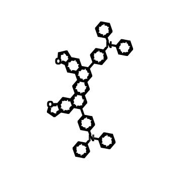 c1ccc(N(c2ccccc2)c2ccc(-c3cc4cc5cc(-c6ccc(N(c7ccccc7)c7ccccc7)cc6)c6cc7ccoc7cc6c5cc4c4cc5occc5cc34)cc2)cc1